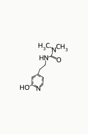 CN(C)C(=O)NCCc1ccnc(O)c1